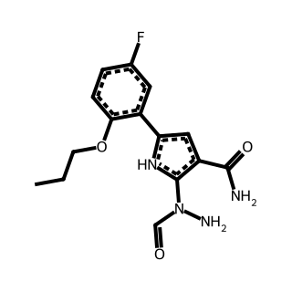 CCCOc1ccc(F)cc1-c1cc(C(N)=O)c(N(N)C=O)[nH]1